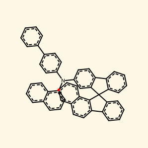 c1ccc(-c2ccc(N(c3ccc4c(c3)C3(c5ccccc5-4)c4ccccc4-c4ccc5ccccc5c43)c3cccc4ccccc34)cc2)cc1